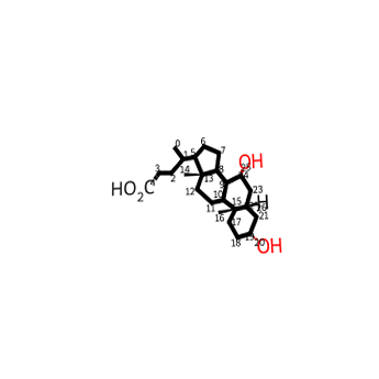 CC(CCC(=O)O)C1CCC2C3C(CC[C@]12C)[C@@]1(C)CC[C@@H](O)C[C@H]1C[C@@H]3O